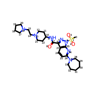 CS(=O)(=O)n1nc(C(=O)NC2CCN(CCN3CCCC3)CC2)c2ccc(N3CCCCCC3)nc21